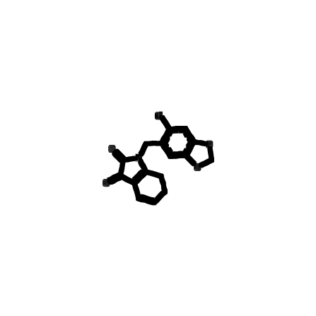 O=C1C(=O)N(Cc2cc3c(cc2Cl)OCO3)C2=C1C=CCC2